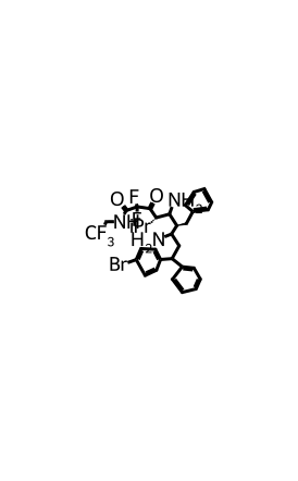 CC(C)[C@H](C(=O)C(F)(F)C(=O)NCC(F)(F)F)C(N)[C@@H](Cc1ccccc1)C(N)CC(c1ccccc1)c1ccc(Br)cc1